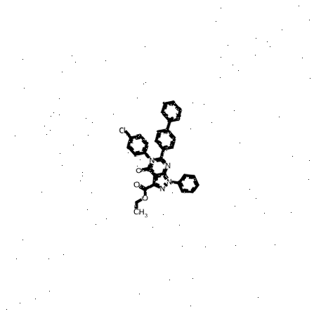 CCOC(=O)c1nn(-c2ccccc2)c2nc(-c3ccc(-c4ccccc4)cc3)n(-c3ccc(Cl)cc3)c(=O)c12